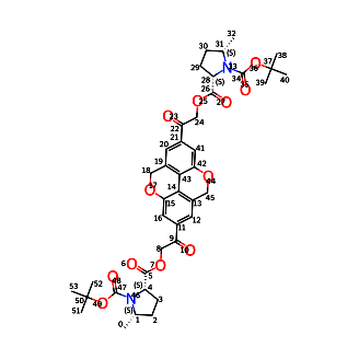 C[C@H]1CC[C@@H](C(=O)OCC(=O)c2cc3c4c(c2)OCc2cc(C(=O)COC(=O)[C@@H]5CC[C@H](C)N5C(=O)OC(C)(C)C)cc(c2-4)OC3)N1C(=O)OC(C)(C)C